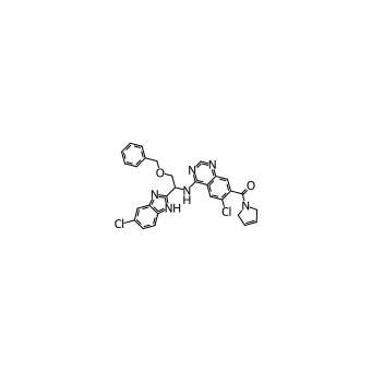 O=C(c1cc2ncnc(NC(COCc3ccccc3)c3nc4cc(Cl)ccc4[nH]3)c2cc1Cl)N1CC=CC1